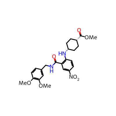 COc1ccc(CNC(=O)c2cc([N+](=O)[O-])ccc2N[C@H]2CC[C@@H](C(=O)OC)CC2)cc1OC